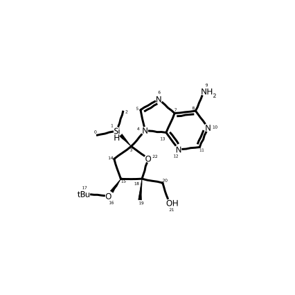 C[SiH](C)[C@]1(n2cnc3c(N)ncnc32)C[C@H](OC(C)(C)C)[C@@](C)(CO)O1